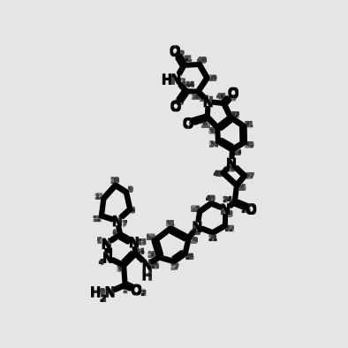 NC(=O)c1nnc(N2CCCCC2)nc1Nc1ccc(N2CCN(C(=O)C3CN(c4ccc5c(c4)C(=O)N(C4CCC(=O)NC4=O)C5=O)C3)CC2)cc1